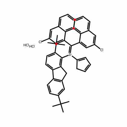 CC(C)(C)c1ccc2c(c1)Cc1c-2ccc(C(C)(C)C)[c]1[Zr]([C]1=CC=CC1)=[C](c1cc(Cl)cc2ccccc12)c1cc(Cl)cc2ccccc12.Cl.Cl